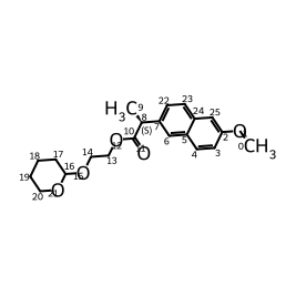 COc1ccc2cc([C@H](C)C(=O)OCCOC3CCCCO3)ccc2c1